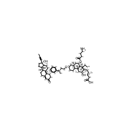 CC#C[C@]1(O)CC[C@H]2[C@@H]3CCC4=CC(=O)CCC4=C3[C@@H](c3ccc(N(C)CCO[C@H]4CC[C@@]5(C)[C@@H](C4)C[C@@H](OC(=O)CCCN)[C@@H]4[C@@H]5C[C@H](O)[C@]5(C)[C@@H]([C@H](C)CCC(=O)O)CC[C@@H]45)cc3)C[C@@]21C